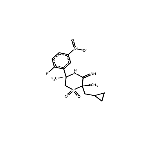 C[C@]1(CC2CC2)C(=N)N[C@](C)(c2cc([N+](=O)[O-])ccc2F)CS1(=O)=O